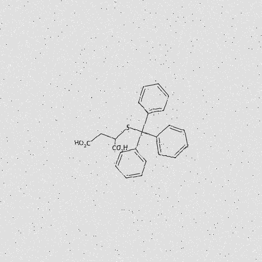 O=C(O)CC(SC(c1ccccc1)(c1ccccc1)c1ccccc1)C(=O)O